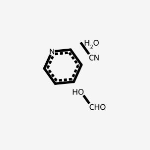 CC#N.O.O=CO.c1ccncc1